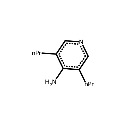 CCCc1cncc(CCC)c1N